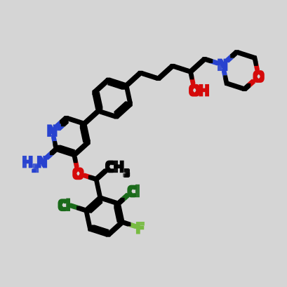 CC(Oc1cc(-c2ccc(CCCC(O)CN3CCOCC3)cc2)cnc1N)c1c(Cl)ccc(F)c1Cl